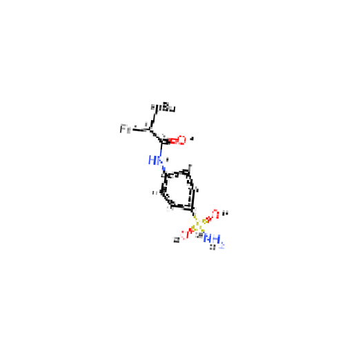 CCCCC(CC)C(=O)Nc1ccc(S(N)(=O)=O)cc1